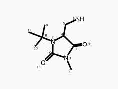 CN1C(=O)C(CS)N(C(C)(C)C)C1=O